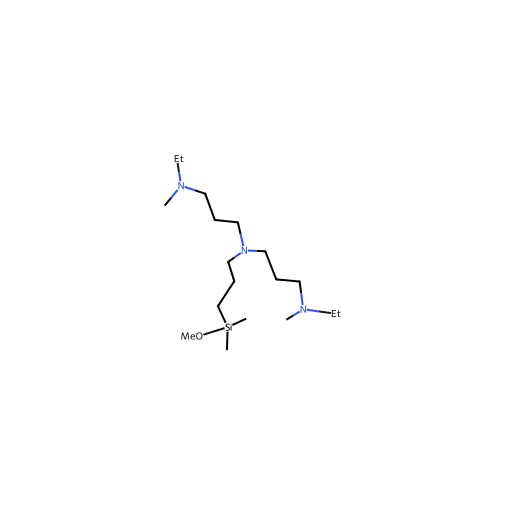 CCN(C)CCCN(CCCN(C)CC)CCC[Si](C)(C)OC